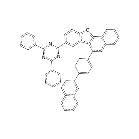 C1=C(c2ccc3ccccc3c2)CCC(c2cc3ccccc3c3oc4ccc(-c5nc(-c6ccccc6)nc(-c6ccccc6)n5)cc4c23)=C1